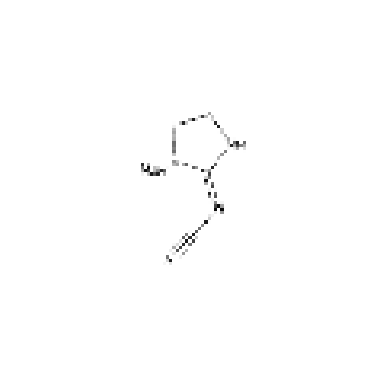 N#CN=C1NCCS1.[NaH]